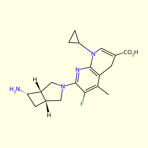 Cc1c(F)c(N2C[C@@H]3C[C@H](N)[C@@H]3C2)nc2c1CC(C(=O)O)=CN2C1CC1